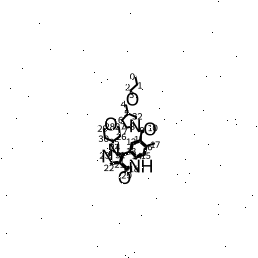 CCCOCC1CCN(C(=O)c2cc3c(cc2C)[nH]c(=O)c2cnn(C4CCOCC4)c23)C1